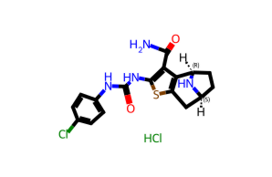 Cl.NC(=O)c1c(NC(=O)Nc2ccc(Cl)cc2)sc2c1[C@H]1CC[C@@H](C2)N1